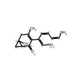 CC1=C(C(/C=C\C=C/N)=C/N)C(=O)C2CC2(C)C1